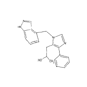 CC(O)Cc1c(-c2ccccc2)ncn1Cc1cccc2[nH]ncc12